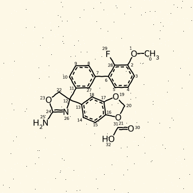 COc1cccc(-c2cccc(C3(c4ccc5c(c4)OCO5)COC(N)=N3)c2)c1F.O=CO